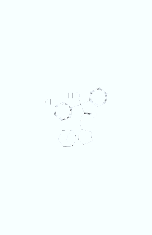 O=C(OC1CCC[N+]12C1CCCC2CC1)C(O)(c1ccccc1)c1ccccc1.[Cl-]